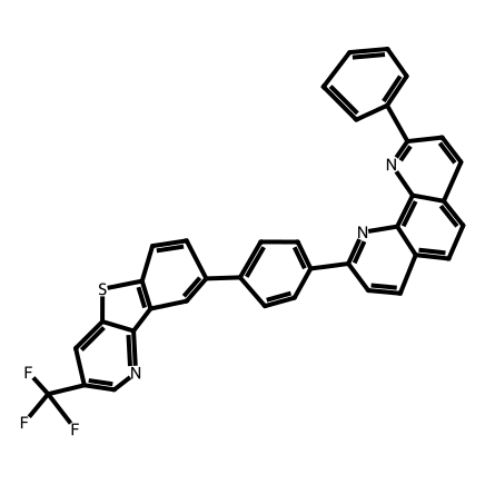 FC(F)(F)c1cnc2c(c1)sc1ccc(-c3ccc(-c4ccc5ccc6ccc(-c7ccccc7)nc6c5n4)cc3)cc12